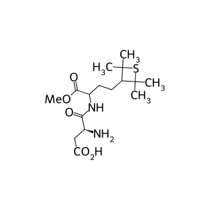 COC(=O)C(CCC1C(C)(C)SC1(C)C)NC(=O)[C@@H](N)CC(=O)O